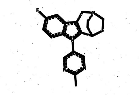 Cc1ncc(-n2c3c(c4cc(F)ccc42)CN2CCC3CC2)cn1